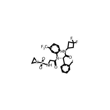 O=C(NC1CC(F)(F)C1)[C@H](c1ccccc1I)N(C(=O)CNS(=O)(=O)N1CC1)c1cccc(C(F)(F)F)c1